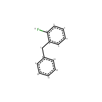 Fc1cc[c]cc1Cc1ccccc1